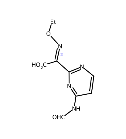 CCO/N=C(\C(=O)O)c1nccc(NC=O)n1